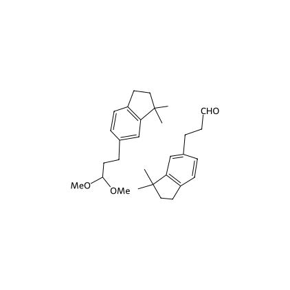 CC1(C)CCc2ccc(CCC=O)cc21.COC(CCc1ccc2c(c1)C(C)(C)CC2)OC